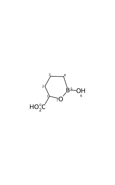 O=C(O)C1CCCB(O)O1